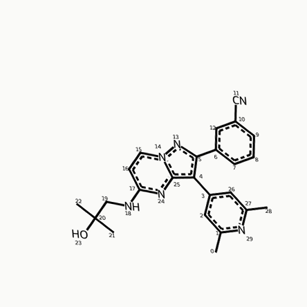 Cc1cc(-c2c(-c3cccc(C#N)c3)nn3ccc(NCC(C)(C)O)nc23)cc(C)n1